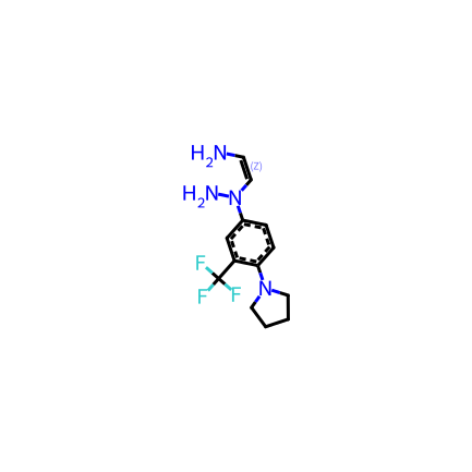 N/C=C\N(N)c1ccc(N2CCCC2)c(C(F)(F)F)c1